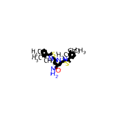 Cc1ccc(-c2csc(-c3cc(C(N)=O)cc(-c4nc(-c5ccc(C)c(C)c5C)cs4)n3)n2)c(C)c1C